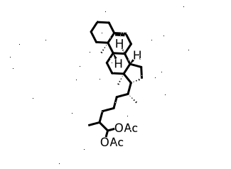 CC(=O)OC(OC(C)=O)C(C)CCC[C@@H](C)[C@H]1CC[C@H]2[C@@H]3CC=C4CCCC[C@]4(C)[C@H]3CC[C@]12C